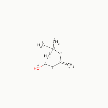 C=C(CCO)CC(C)(C)C